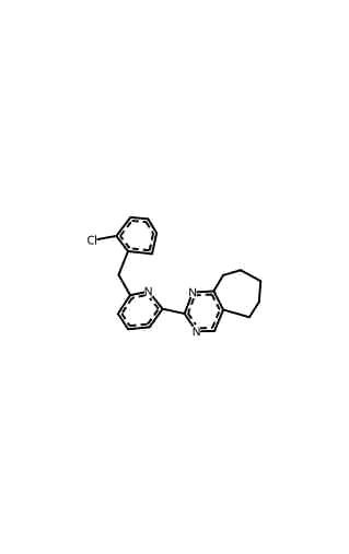 Clc1ccccc1Cc1cccc(-c2ncc3c(n2)CCCCC3)n1